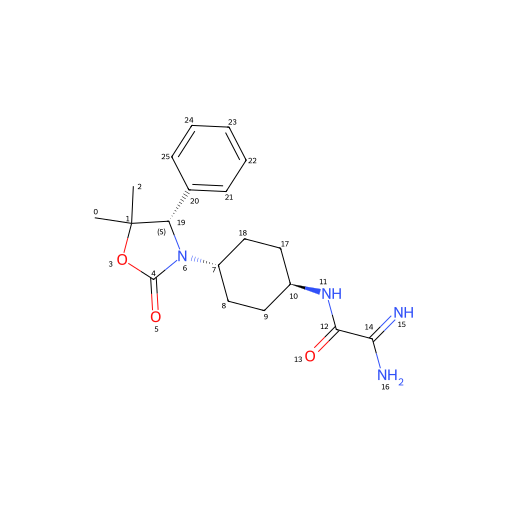 CC1(C)OC(=O)N([C@H]2CC[C@H](NC(=O)C(=N)N)CC2)[C@H]1c1ccccc1